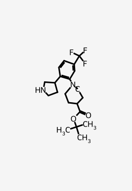 CC(C)(C)OC(=O)C1CCN(c2cc(C(F)(F)F)ccc2C2CCNC2)CC1